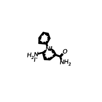 NC(=O)c1ccc(N)[n+](-c2ccccc2)c1.[I-]